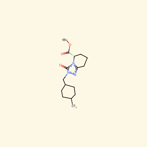 CC(C)(C)OC(=O)[C@@H]1CCCc2nn(CC3CCC(C(F)(F)F)CC3)c(=O)n21